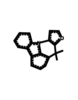 CC1(C)c2occc2-n2c3ccccc3c3cccc1c32